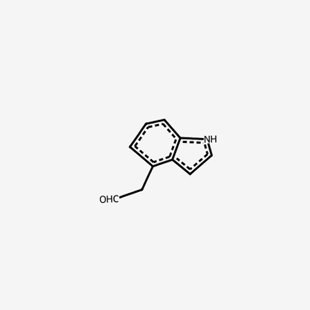 O=CCc1cccc2[nH]ccc12